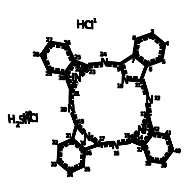 Cl.Cl.[SnH2].c1ccc2c(c1)-c1nc-2nc2[nH]c(nc3nc(nc4[nH]c(n1)c1ccccc41)-c1ccccc1-3)c1ccccc21